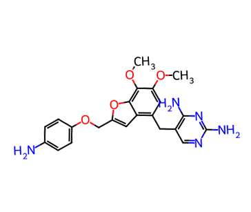 COc1cc(Cc2cnc(N)nc2N)c2cc(COc3ccc(N)cc3)oc2c1OC